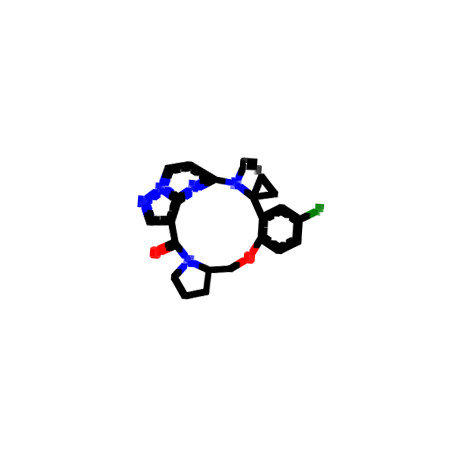 CN1c2ccn3ncc(c3n2)C(=O)N2CCCC2COc2ccc(F)cc2C12CC2